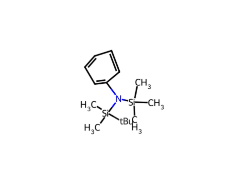 CC(C)(C)[Si](C)(C)N(c1ccccc1)[Si](C)(C)C